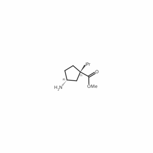 COC(=O)[C@@]1(C(C)C)CC[C@@H](N)C1